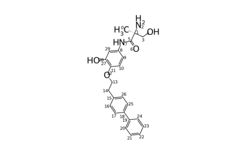 C[C@](N)(CO)C(=O)Nc1ccc(OCCc2ccc(-c3ccccc3)cc2)c(O)c1